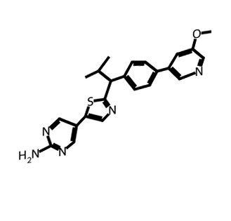 COc1cncc(-c2ccc(C(c3ncc(-c4cnc(N)nc4)s3)C(C)C)cc2)c1